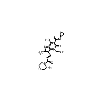 CC[C@@H]1COCCN1C(=O)/C=C/c1c(C)nn2c(O)c(C(=O)NC3CC3)c(=O)n(CC(C)C)c12